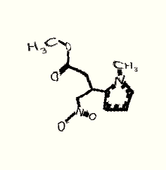 COC(=O)CC(C[N+](=O)[O-])c1cccn1C